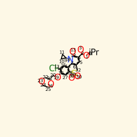 CC(C)OC(=O)c1cc2c(n(C3CC3)c1=O)-c1cc(Cl)c(OC[C@@H]3COCCO3)cc1S(=O)(=O)C2